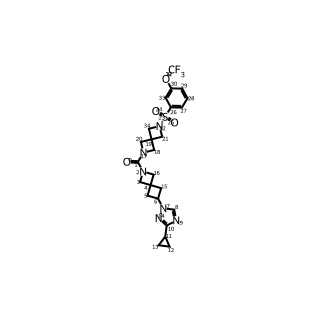 O=C(N1CC2(CC(n3cnc(C4CC4)n3)C2)C1)N1CC2(C1)CN(S(=O)(=O)c1cccc(OC(F)(F)F)c1)C2